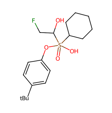 CC(C)(C)c1ccc(OS(=O)(O)(C(O)CF)C2CCCCC2)cc1